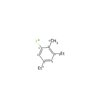 CCc1cc(F)c(C)c(CC)c1